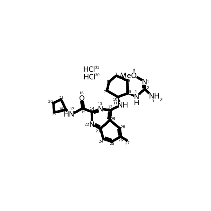 CO/N=C(/N)N[C@@H]1CCCC[C@@H]1Nc1nc(C(=O)NC2CCC2)nc2ccc(C)cc12.Cl.Cl